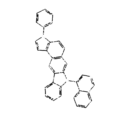 c1ccc(-n2ccc3c4cc5c6ccccc6n(-c6cncc7ccccc67)c5cc4ccc32)cc1